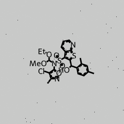 CCOC(OC)N(c1onc(C)c1Cl)S(=O)(=O)c1c(C(O)c2ccc(C)cc2C)sc2ncccc12